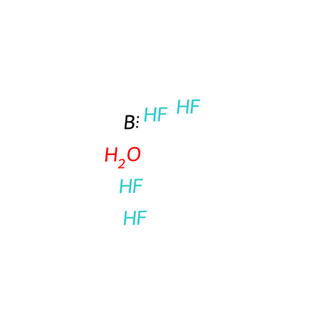 F.F.F.F.O.[B]